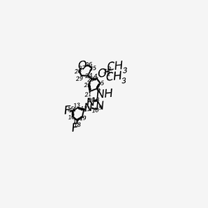 CC(C)Oc1cc(Nc2ncn(-c3cc(F)cc(F)c3)n2)ccc1C1CCOCC1